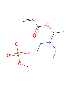 C=CC(=O)OC(C)N(CC)CC.COS(=O)(=O)O